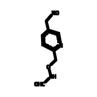 O=CNOCc1ccc(CN=O)cn1